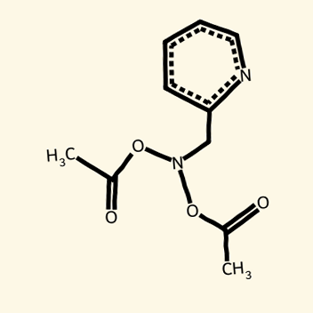 CC(=O)ON(Cc1ccccn1)OC(C)=O